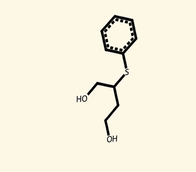 OCCC(CO)Sc1ccccc1